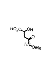 CONC(=O)C[C@H](O)C(=O)O